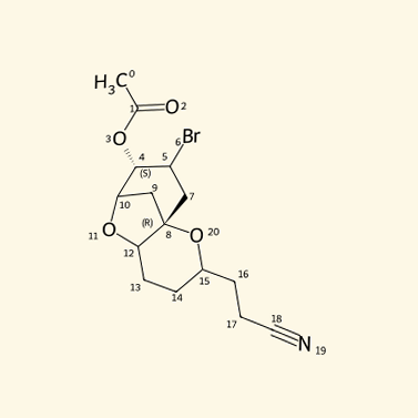 CC(=O)O[C@@H]1C(Br)C[C@]23CC1OC2CCC(CCC#N)O3